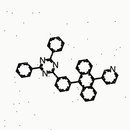 c1ccc(-c2nc(-c3ccccc3)nc(-c3cccc(-c4c5ccccc5c(-c5cccnc5)c5ccccc45)c3)n2)cc1